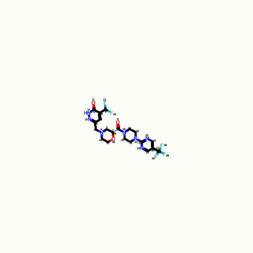 O=C([C@H]1CN(Cc2cc(C(F)F)c(=O)[nH]n2)CCO1)N1CCN(c2ncc(C(F)(F)F)cn2)CC1